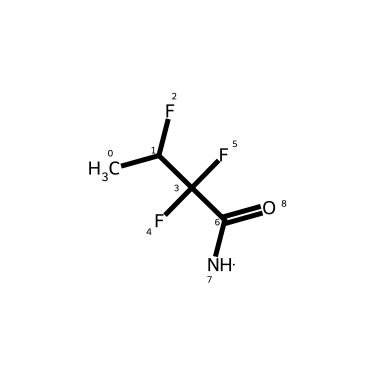 CC(F)C(F)(F)C([NH])=O